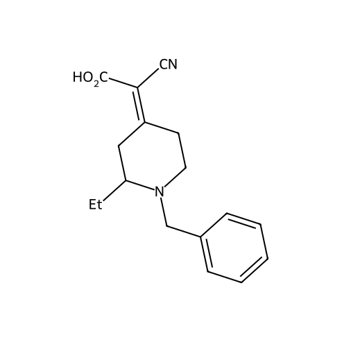 CCC1CC(=C(C#N)C(=O)O)CCN1Cc1ccccc1